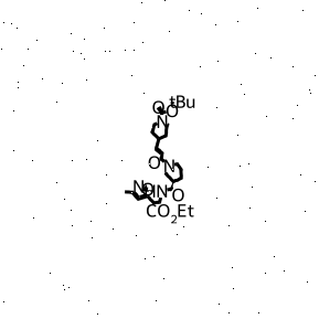 CCOC(=O)[C@@H](CNC(=O)[C@@H]1CCCN(C(=O)/C=C/C2CCN(C(=O)OC(C)(C)C)CC2)C1)c1cc(C)no1